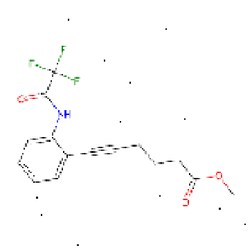 COC(=O)CCCC#Cc1ccccc1NC(=O)C(F)(F)F